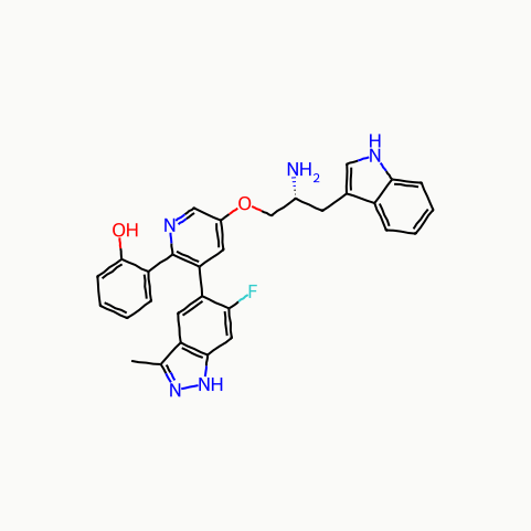 Cc1n[nH]c2cc(F)c(-c3cc(OC[C@H](N)Cc4c[nH]c5ccccc45)cnc3-c3ccccc3O)cc12